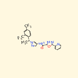 CC(c1ccc(C(F)(F)F)cc1C(F)(F)F)n1cc(NC(=O)c2nnc(-c3ccccn3)o2)cn1